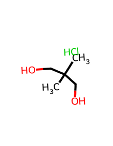 CC(C)(CO)CO.Cl